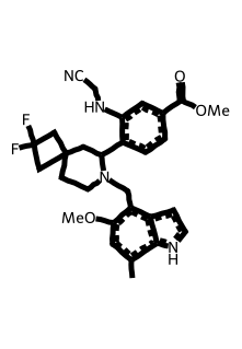 COC(=O)c1ccc(C2CC3(CCN2Cc2c(OC)cc(C)c4[nH]ccc24)CC(F)(F)C3)c(NCC#N)c1